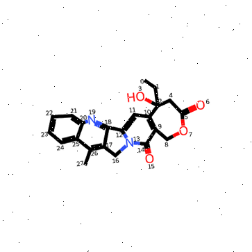 CCC1(O)CC(=O)OCc2c1cc1n(c2=O)Cc2c-1nc1ccccc1c2C